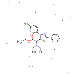 CCOC(=O)C(c1sc(-c2ccccc2)nc1-c1ccc(Cl)cc1)N(CC)CC